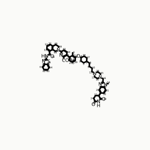 Cc1c(OC2CCC(CCCCN3CCN(Cc4nc5cc(C6CCC(=O)NC6=O)ccc5n4C)CC3)CC2)cccc1-c1ccc(N2CCc3cccc(C(=O)Nc4nc5ccccc5s4)c3C2)nc1C(=O)O